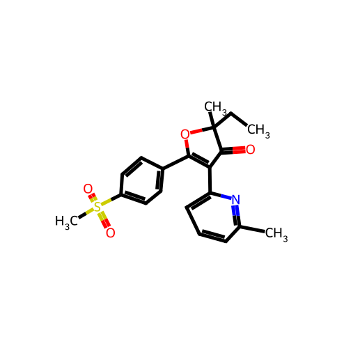 CCC1(C)OC(c2ccc(S(C)(=O)=O)cc2)=C(c2cccc(C)n2)C1=O